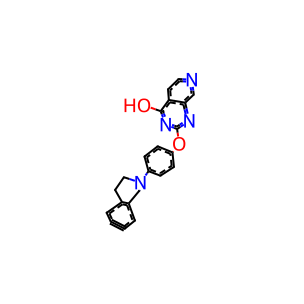 Oc1nc(Oc2ccc(N3CCc4cc#ccc4C3)cc2)nc2cnccc12